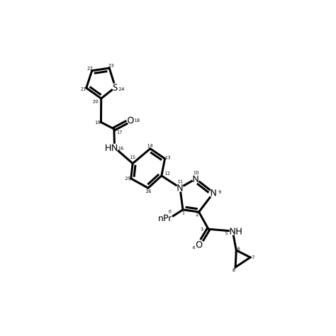 CCCc1c(C(=O)NC2CC2)nnn1-c1ccc(NC(=O)Cc2cccs2)cc1